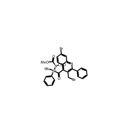 COC(=O)N(C(=O)[O-])[N+](C(=O)c1c(CBr)c(-c2ccccc2)nc2cc(Br)ccc12)(c1ccccc1)C(C)(C)C